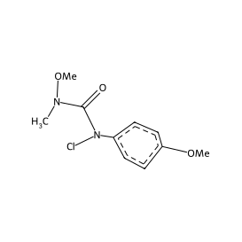 COc1ccc(N(Cl)C(=O)N(C)OC)cc1